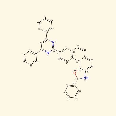 c1ccc(-c2cc(-c3ccccc3)nc(-c3ccc4c(ccc5ccc6c(c54)OC(c4ccccc4)N6)c3)n2)cc1